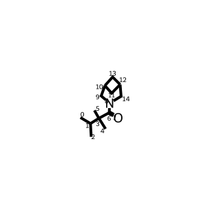 CC(C)C(C)(C)C(=O)N1CC2CC(C2)C1